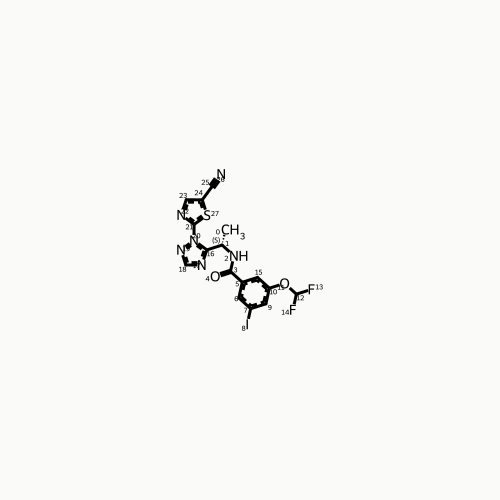 C[C@H](NC(=O)c1cc(I)cc(OC(F)F)c1)c1ncnn1-c1ncc(C#N)s1